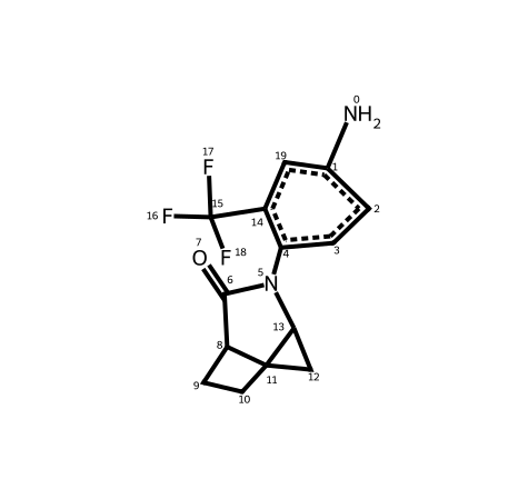 Nc1ccc(N2C(=O)C3CCC34CC24)c(C(F)(F)F)c1